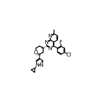 Cc1ccc2c(-c3ccc(Cl)cc3F)nc([C@H]3CCO[C@H](c4cnn(C5CC5)c4)C3)nc2n1